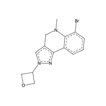 CN1Cc2cn(C3COC3)nc2-c2cccc(Br)c21